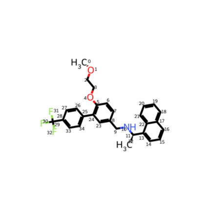 COCCOc1ccc(CN[C@H](C)c2cccc3ccccc23)cc1-c1ccc(C(F)(F)F)cc1